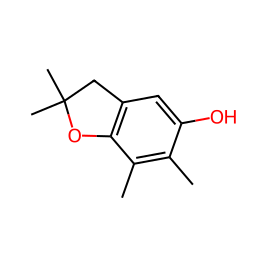 Cc1c(O)cc2c(c1C)OC(C)(C)C2